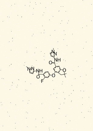 Cn1ccc(NC(=O)c2cc(Oc3ccc(C(=O)Nc4ccn(C)n4)c(F)c3)c3c(c2)OC(C)(C)C3)n1